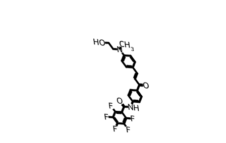 CN(CCO)c1ccc(/C=C/C(=O)c2ccc(NC(=O)c3c(F)c(F)c(F)c(F)c3F)cc2)cc1